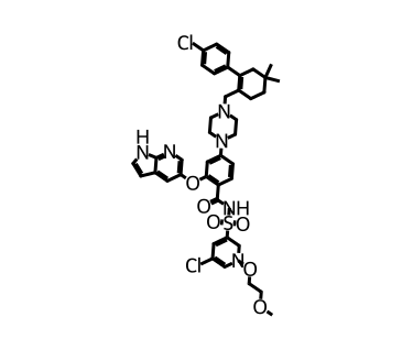 COCCON1C=C(Cl)C=C(S(=O)(=O)NC(=O)c2ccc(N3CCN(CC4=C(c5ccc(Cl)cc5)CC(C)(C)CC4)CC3)cc2Oc2cnc3[nH]ccc3c2)C1